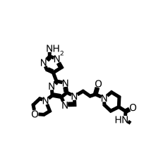 CNC(=O)C1CCN(C(=O)CCn2cnc3c(N4CCOCC4)nc(-c4cnc(N)nc4)nc32)CC1